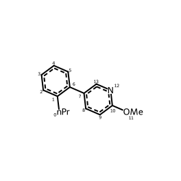 CCCc1ccccc1-c1ccc(OC)nc1